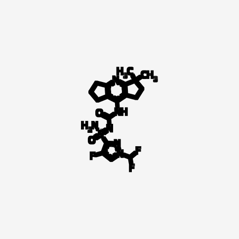 CC1(C)CCc2c1nc1c(c2NC(=O)N=[S@](N)(=O)c2nn(C(F)F)cc2F)CCC1